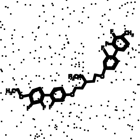 C=CC(CCOc1ccc(-c2ccc(C)c(F)c2F)c(F)c1)CCOc1ccc(-c2ccc(OCC)c(F)c2F)c(F)c1